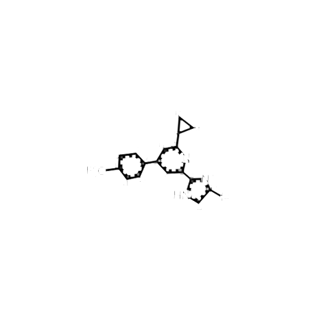 FC(F)(F)c1ccc(-c2cc(-c3nc(I)c[nH]3)nc(C3CC3)c2)cc1